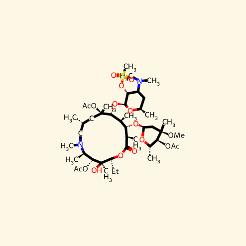 CC[C@H]1OC(=O)[C@H](C)[C@@H](O[C@H]2C[C@@](C)(OC)[C@@H](OC(C)=O)[C@H](C)O2)[C@H](C)[C@@H](O[C@@H]2O[C@H](C)CC(N(C)C)[C@H]2OS(C)(=O)=O)[C@](C)(OC(C)=O)C[C@@H](C)CN(C)[C@H](C)[C@@H](OC(C)=O)[C@]1(C)O